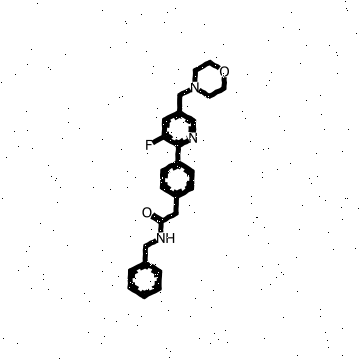 O=C(Cc1ccc(-c2ncc(CN3CCOCC3)cc2F)cc1)NCc1ccccc1